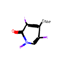 COc1c(I)cn(I)c(=O)c1I